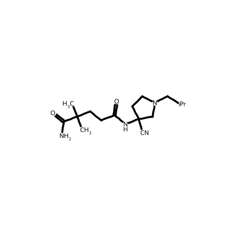 CC(C)CN1CCC(C#N)(NC(=O)[CH]CC(C)(C)C(N)=O)C1